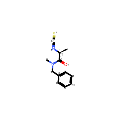 C[C@H](N=C=S)C(=O)N(C)Cc1ccccc1